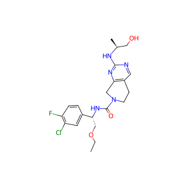 CCOC[C@@H](NC(=O)N1CCc2cnc(N[C@@H](C)CO)nc2C1)c1ccc(F)c(Cl)c1